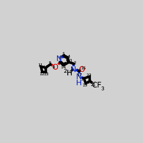 [2H]N(Cc1ccnc(OCC2CCC2)c1)C(=O)NC1CC(C(F)(F)F)C1